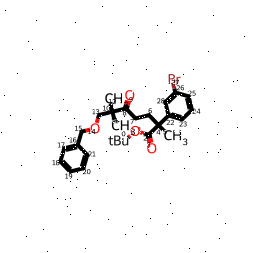 CC(C)(C)OC(=O)C(C)(CCC(=O)C(C)(C)COCc1ccccc1)c1cccc(Br)c1